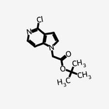 CC(C)(C)OC(=O)Cn1ccc2c(Cl)nccc21